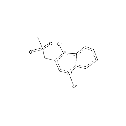 CS(=O)(=O)Cc1c[n+]([O-])c2ccccc2[n+]1[O-]